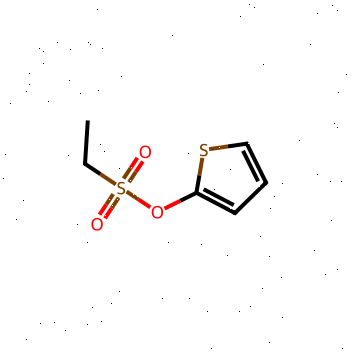 CCS(=O)(=O)Oc1cccs1